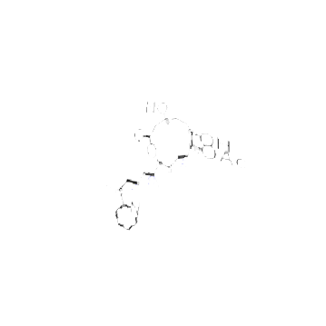 CC(=O)O[C@H]1/C=C/[C@H](C)[C@@H](/C(C)=C/C=C/[C@@H](C)c2ccccn2)OC(=O)C[C@H](O)CC[C@@]1(C)O